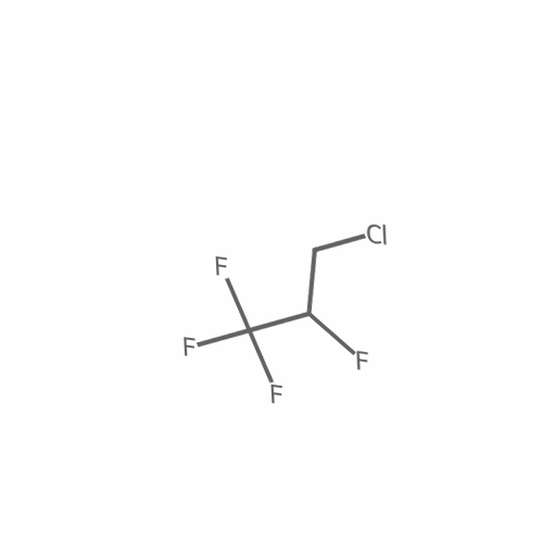 FC(CCl)C(F)(F)F